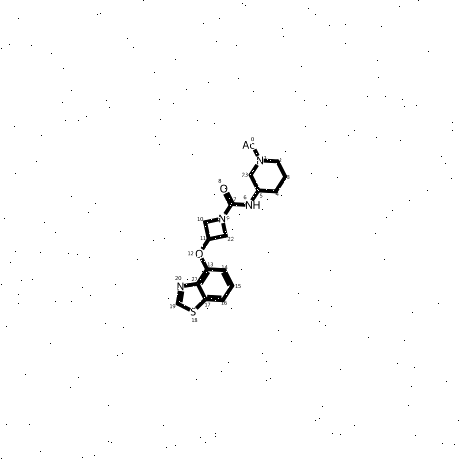 CC(=O)N1CCCC(NC(=O)N2CC(Oc3cccc4scnc34)C2)C1